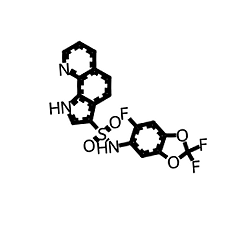 O=S(=O)(Nc1cc2c(cc1F)OC(F)(F)O2)c1c[nH]c2c1ccc1cccnc12